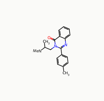 CNC(C)Cn1c(-c2ccc(C)cc2)nc2ccccc2c1=O